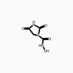 O=C1CN(C(=O)NO)C(=O)N1